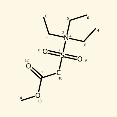 CC[N+](CC)(CC)S(=O)(=O)[CH-]C(=O)OC